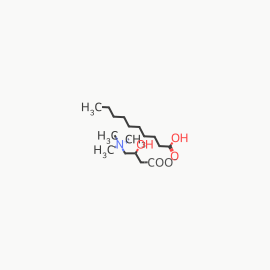 CCCCCCCCCC(=O)O.C[N+](C)(C)CC(O)CC(=O)[O-]